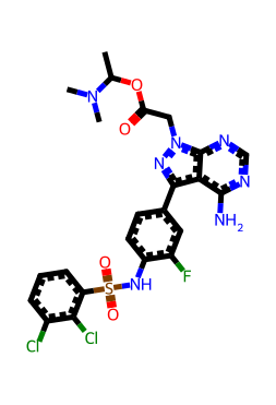 CC(OC(=O)Cn1nc(-c2ccc(NS(=O)(=O)c3cccc(Cl)c3Cl)c(F)c2)c2c(N)ncnc21)N(C)C